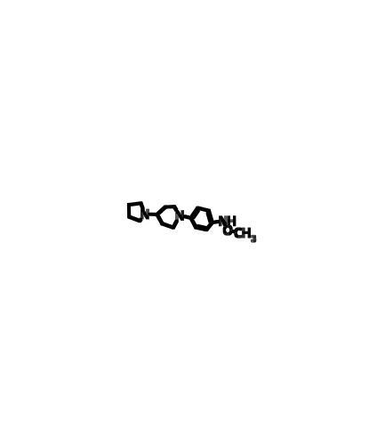 CONc1ccc(N2CCC(N3CCCC3)CC2)cc1